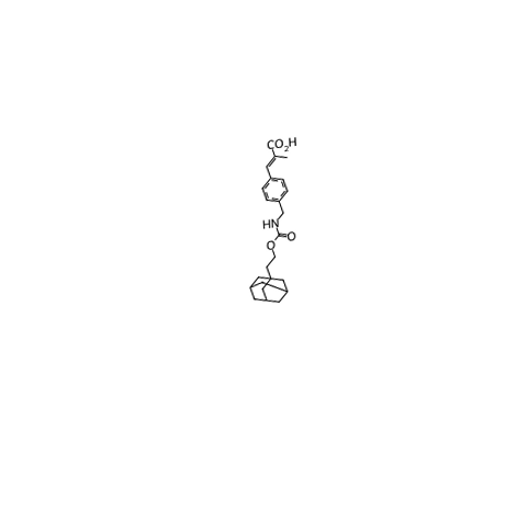 C/C(=C\c1ccc(CNC(=O)OCCC23CC4CC(CC(C4)C2)C3)cc1)C(=O)O